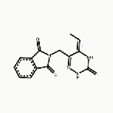 C/C=C1/NC(=S)NN=C1CN1C(=O)c2ccccc2C1=O